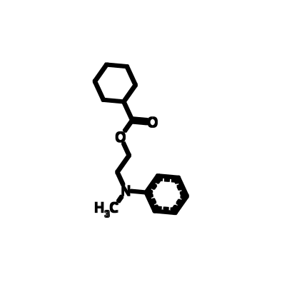 CN(CCOC(=O)C1CCCCC1)c1ccccc1